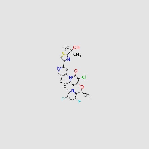 Cc1cnc(-c2csc(C(C)(C)O)n2)cc1-n1c(C)cc(OC(C)c2ncc(F)cc2F)c(Cl)c1=O